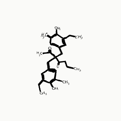 CCCC(=O)C(Cc1cc(C)c(O)c(CC)c1)(Cc1cc(C)c(O)c(CC)c1)C(C)=O